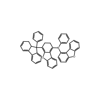 C1=CCC2C(=C1)c1ccccc1C2(C1=c2oc3ccccc3c2=C(N(c2ccccc2)c2cccc3oc4ccccc4c23)CC1)c1ccccc1